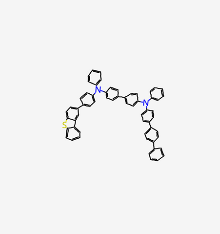 c1ccc(-c2ccc(-c3ccc(N(c4ccccc4)c4ccc(-c5ccc(N(c6ccccc6)c6ccc(-c7ccc8sc9ccccc9c8c7)cc6)cc5)cc4)cc3)cc2)cc1